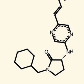 O=C(O)/C=C/c1cnc(N[C@@H]2CCN(CC3CCCCC3)C2=O)cn1